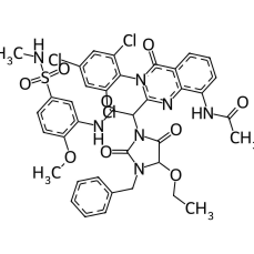 CCOC1C(=O)N(C(C(=O)Nc2cc(S(=O)(=O)NC)ccc2OC)c2nc3c(NC(C)=O)cccc3c(=O)n2-c2c(Cl)cc(Cl)cc2Cl)C(=O)N1Cc1ccccc1